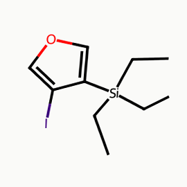 CC[Si](CC)(CC)c1cocc1I